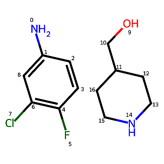 Nc1ccc(F)c(Cl)c1.OCC1CCNCC1